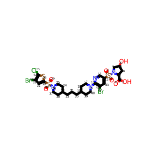 O=C(O)C1CC(O)CN1S(=O)(=O)c1cnc(N2CCC(CCCC3CCN(S(=O)(=O)c4cc(Br)c(Cl)s4)CC3)CC2)c(Br)c1